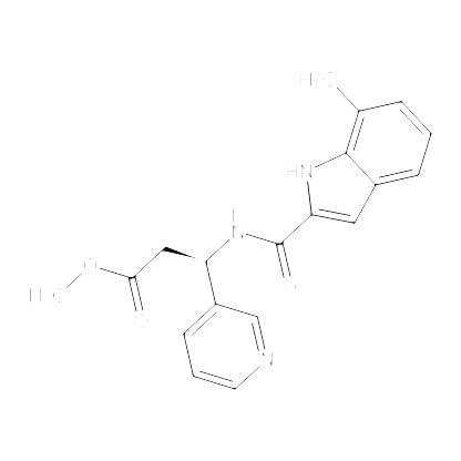 COC(=O)C[C@@H](NC(=O)c1cc2cccc(C)c2[nH]1)c1cccnc1